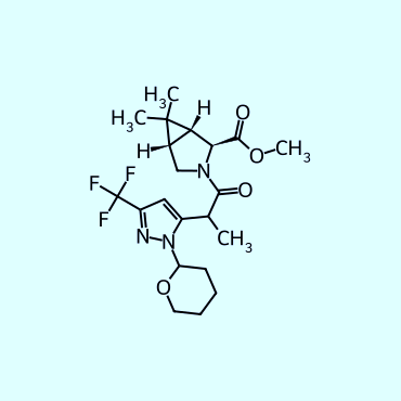 COC(=O)[C@@H]1[C@@H]2[C@H](CN1C(=O)C(C)c1cc(C(F)(F)F)nn1C1CCCCO1)C2(C)C